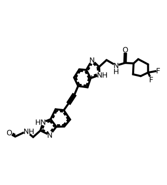 O=CNCc1nc2ccc(C#Cc3ccc4nc(CNC(=O)C5CCC(F)(F)CC5)[nH]c4c3)cc2[nH]1